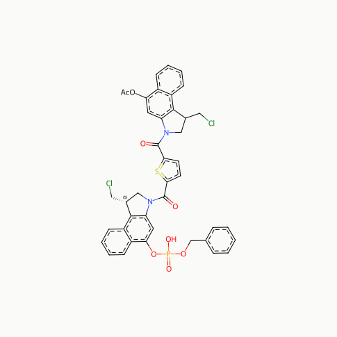 CC(=O)Oc1cc2c(c3ccccc13)C(CCl)CN2C(=O)c1ccc(C(=O)N2C[C@@H](CCl)c3c2cc(OP(=O)(O)OCc2ccccc2)c2ccccc32)s1